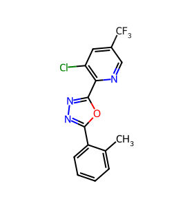 Cc1ccccc1-c1nnc(-c2ncc(C(F)(F)F)cc2Cl)o1